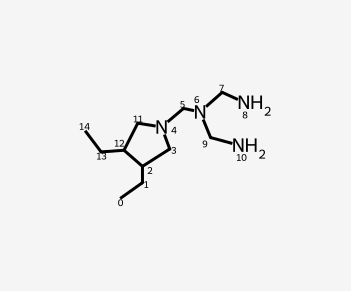 CCC1CN(CN(CN)CN)CC1CC